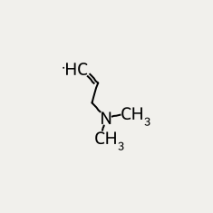 [CH]=CCN(C)C